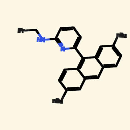 CCCCc1ccc2c(-c3cccc(NCC(C)C)n3)c3cc(CCCC)ccc3cc2c1